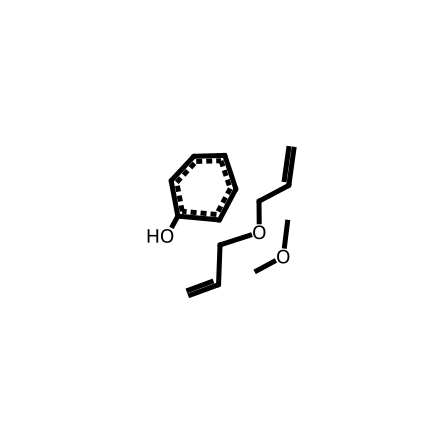 C=CCOCC=C.COC.Oc1ccccc1